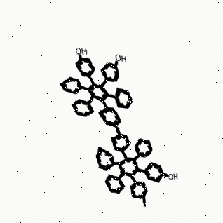 Cc1ccc(-c2c(-c3ccccc3)c(-c3ccccc3)c(-c3ccc(-c4ccc(-c5c(-c6ccccc6)c(-c6ccccc6)c(-c6ccc(O)cc6)c(-c6ccc(O)cc6)c5-c5ccccc5)cc4)cc3)c(-c3ccccc3)c2-c2ccc(O)cc2)cc1